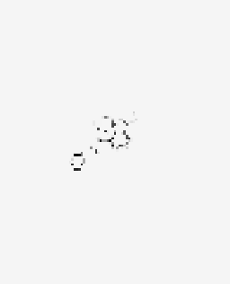 Cc1ccccc1CN(Br)C(=O)c1cccc2c1C1(CCNCC1)CC2CC(=O)O